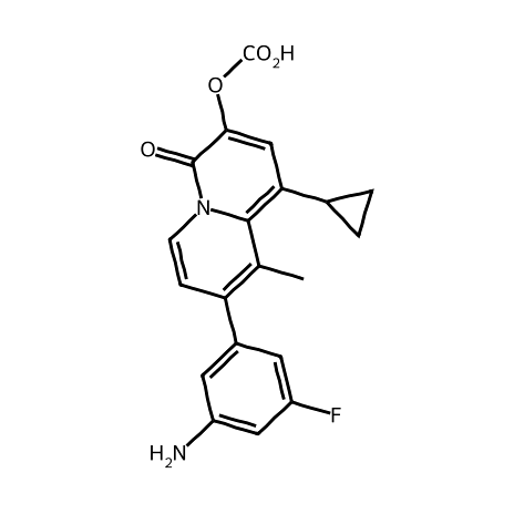 Cc1c(-c2cc(N)cc(F)c2)ccn2c(=O)c(OC(=O)O)cc(C3CC3)c12